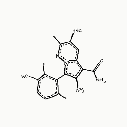 Cc1ccc(O)c(C)c1-c1c(N)c(C(N)=O)c2cc(C(C)(C)C)c(C)nn12